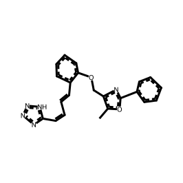 Cc1oc(-c2ccccc2)nc1COc1ccccc1/C=C/C=C\c1nnn[nH]1